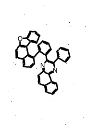 c1ccc(-c2nc3c(ccc4ccccc43)nc2-c2ccccc2-c2cccc3ccc4oc5ccccc5c4c23)cc1